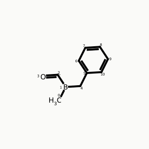 CB([C]=O)Cc1ccccc1